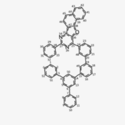 c1ccc(-c2cc(-c3ccccc3)cc(-c3cccc(-c4cccc(-c5nc(-c6ccccc6)nc6c5oc5c7ccccc7ccc65)c4)c3)c2)cc1